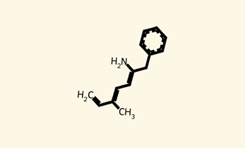 C=C/C(C)=C/C=C(\N)Cc1ccccc1